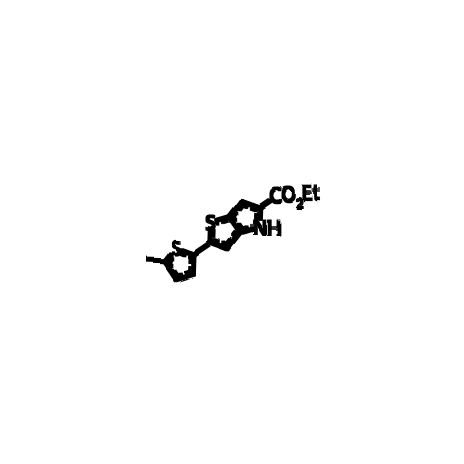 CCOC(=O)c1cc2sc(-c3ccc(C)s3)cc2[nH]1